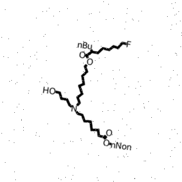 CCCCCCCCCOC(=O)CCCCCCCN(CCCCO)CCCCCCCCOC(=O)C(CCCC)CCCCCCF